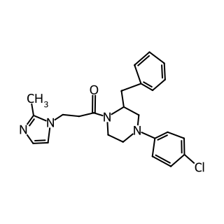 Cc1nccn1CCC(=O)N1CCN(c2ccc(Cl)cc2)CC1Cc1ccccc1